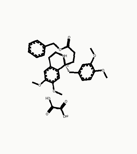 COc1ccc(C[C@@]2(CCC(=O)OCc3ccccc3)NCCc3cc(OC)c(OC)cc32)cc1OC.O=C(O)C(=O)O